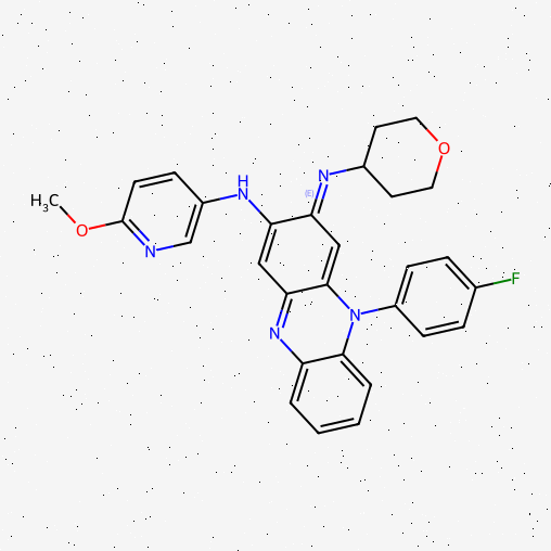 COc1ccc(Nc2cc3nc4ccccc4n(-c4ccc(F)cc4)c-3c/c2=N\C2CCOCC2)cn1